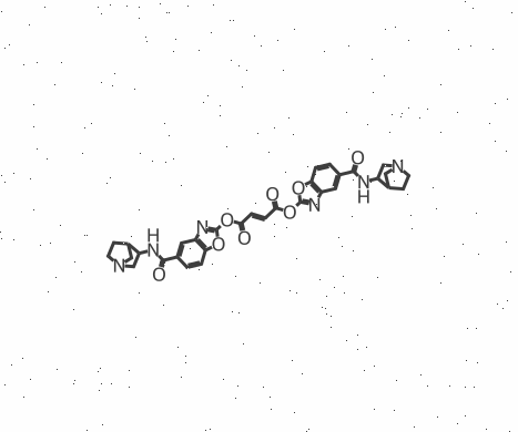 O=C(/C=C/C(=O)Oc1nc2cc(C(=O)NC3CN4CCC3C4)ccc2o1)Oc1nc2cc(C(=O)NC3CN4CCC3C4)ccc2o1